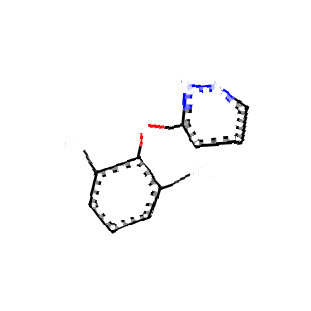 CC(C)(C)c1cccc(C(C)(C)C)c1Oc1cccnn1